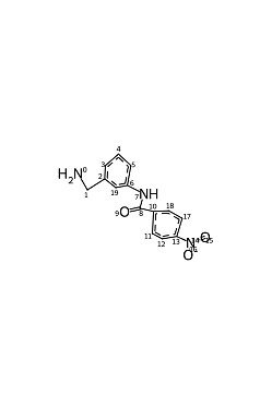 NCc1cccc(NC(=O)c2ccc([N+](=O)[O-])cc2)c1